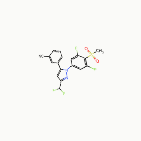 CS(=O)(=O)c1c(F)cc(-n2nc(C(F)F)cc2-c2cccc(C#N)c2)cc1F